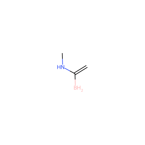 BC(=C)NC